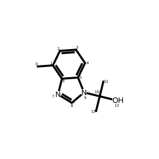 Cc1cccc2c1n[c]n2C(C)(C)O